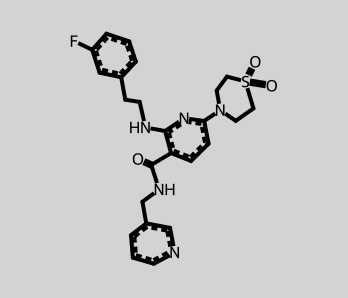 O=C(NCc1cccnc1)c1ccc(N2CCS(=O)(=O)CC2)nc1NCCc1cccc(F)c1